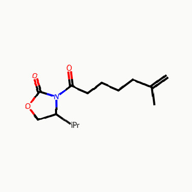 C=C(C)CCCCC(=O)N1C(=O)OCC1C(C)C